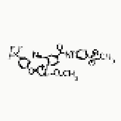 CCOC[C@@H]1C[C@@H](Oc2ccc(C(F)(F)F)cc2)CN1c1ccc(C(=O)NCc2ccc(S(=O)(=O)CC)cc2)cc1C#N